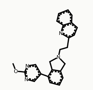 COc1ncc(-c2cccc3c2CN(CCc2ccc4ccccc4n2)C3)cn1